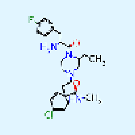 CCC1CN(CCC2(C(=O)NC)C=CC(Cl)=CC2)CCN1C(=O)C(N)Cc1ccc(F)cc1